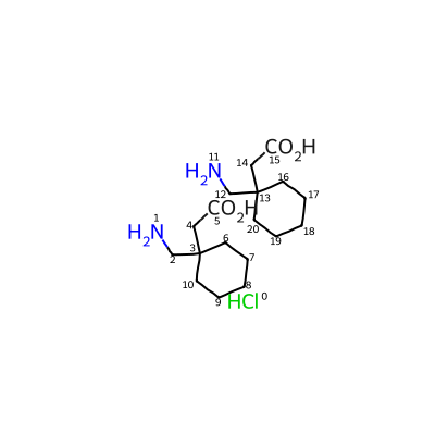 Cl.NCC1(CC(=O)O)CCCCC1.NCC1(CC(=O)O)CCCCC1